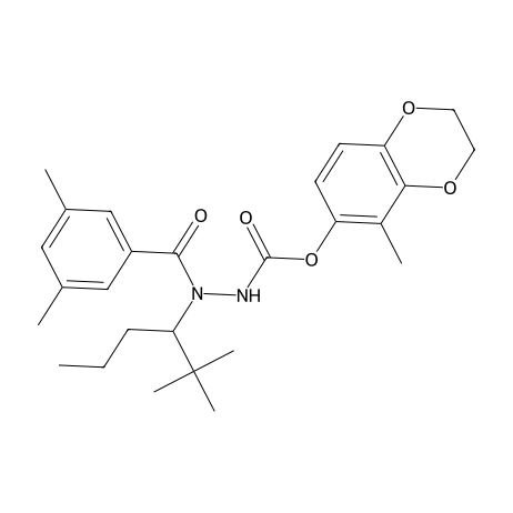 CCCC(N(NC(=O)Oc1ccc2c(c1C)OCCO2)C(=O)c1cc(C)cc(C)c1)C(C)(C)C